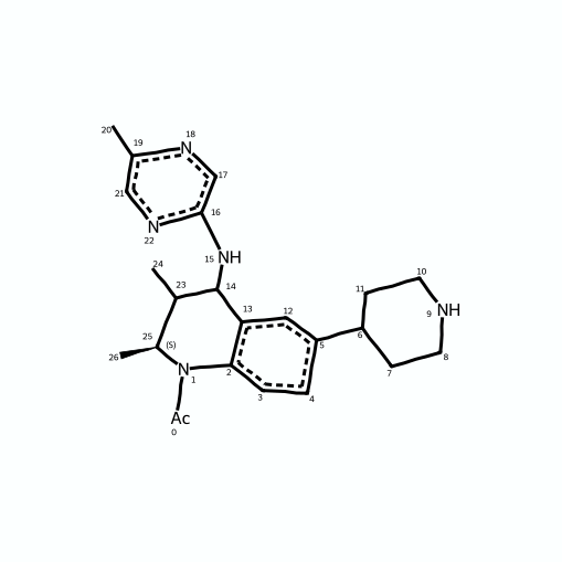 CC(=O)N1c2ccc(C3CCNCC3)cc2C(Nc2cnc(C)cn2)C(C)[C@@H]1C